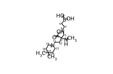 CNC(CCCCB(O)O)(CCN1CCC(C)(C)CC1)C(=O)O